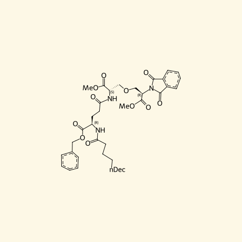 CCCCCCCCCCCCCC(=O)N[C@H](CCC(=O)N[C@@H](COC[C@H](C(=O)OC)N1C(=O)c2ccccc2C1=O)C(=O)OC)C(=O)OCc1ccccc1